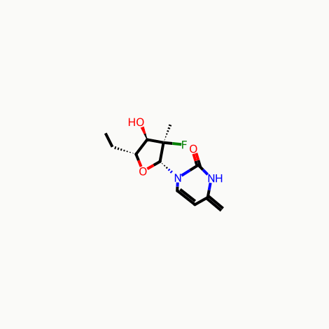 C=C1C=CN([C@@H]2O[C@H](CC)[C@@H](O)[C@@]2(C)F)C(=O)N1